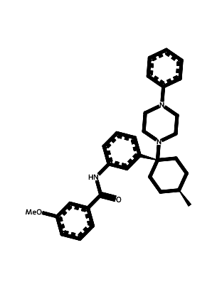 COc1cccc(C(=O)Nc2cccc([C@]3(N4CCN(c5ccccc5)CC4)CC[C@H](C)CC3)c2)c1